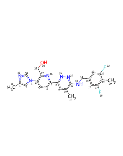 Cc1cn(-c2ccc(-c3cc(C)c(NCc4cc(F)c(C)c(F)c4)nn3)nc2CO)cn1